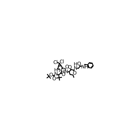 CCCC(NC(=O)[C@@H]1C2C(CN1C(=O)C(NC(=O)OC(C)(C)C)C(C)(C)C)C2(Cl)Cl)C(=O)C(=O)NCC(=O)NCc1ccccc1